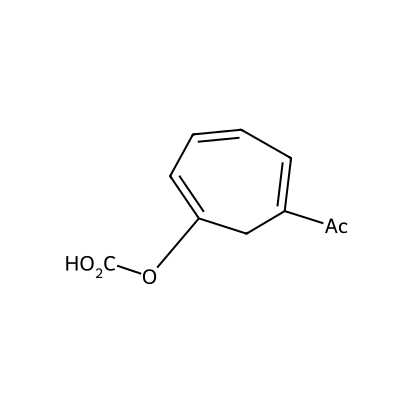 CC(=O)C1=CC=CC=C(OC(=O)O)C1